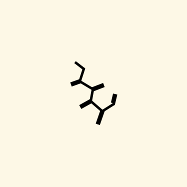 C=CC(=C)C(=C)C(=C)C(=C)CC